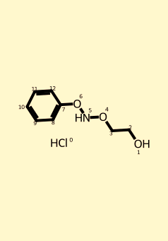 Cl.OCCONOc1ccccc1